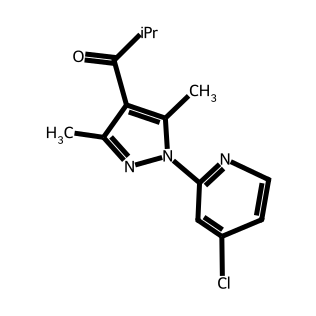 Cc1nn(-c2cc(Cl)ccn2)c(C)c1C(=O)C(C)C